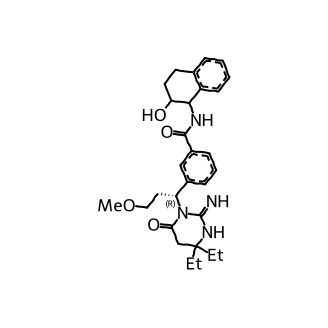 CCC1(CC)CC(=O)N([C@H](CCOC)c2cccc(C(=O)NC3c4ccccc4CCC3O)c2)C(=N)N1